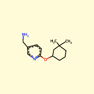 CC1(C)CCCC(Oc2ccc(CN)cn2)C1